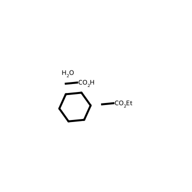 C1CCCCC1.CC(=O)O.CCOC(C)=O.O